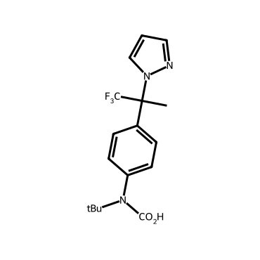 CC(C)(C)N(C(=O)O)c1ccc(C(C)(n2cccn2)C(F)(F)F)cc1